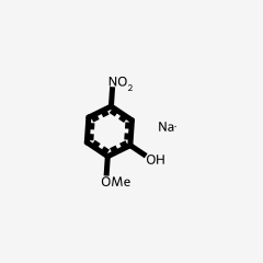 COc1ccc([N+](=O)[O-])cc1O.[Na]